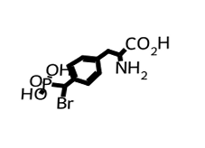 NC(Cc1ccc(C(Br)P(=O)(O)O)cc1)C(=O)O